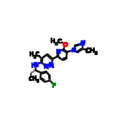 CC[C@H](Nc1nnc(-c2ccc(-n3cnc(C)c3)c(OC)n2)cc1C)c1ccc(F)cc1